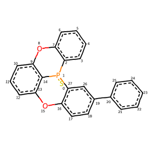 S=P12c3ccccc3Oc3cccc(c31)Oc1ccc(-c3ccccc3)cc12